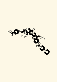 CCc1c2c(nc3ccc(OC(=O)N4CCC(N5CCCCC5)CC4)cc13)-c1cc3c(c(=O)n1C2)COC(=O)C3(CC)OC(=O)COc1ccc(C(=O)O)cc1